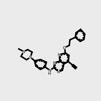 C#Cc1cc(OCCc2ccccc2)nc2nc(Nc3ccc(N4CCN(C)CC4)cc3)ncc12